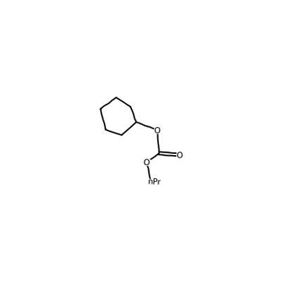 CCCOC(=O)OC1CCCCC1